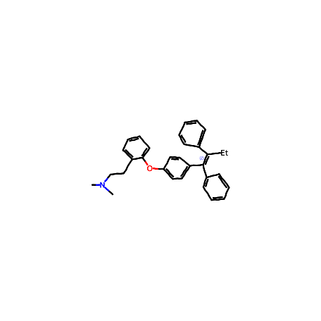 CC/C(=C(\c1ccccc1)c1ccc(Oc2ccccc2CCN(C)C)cc1)c1ccccc1